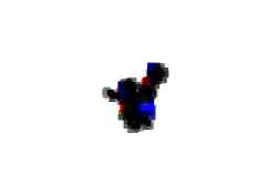 C=CCCn1c(=O)c(NC(=O)Nc2c(C(C)C)cccc2C(C)C)c(-c2cccc(OCc3cccnc3)c2)c2cccnc21